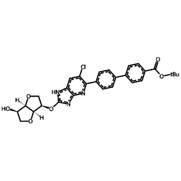 CC(C)(C)OC(=O)c1ccc(-c2ccc(-c3nc4nc(O[C@@H]5CO[C@H]6[C@@H]5OC[C@H]6O)[nH]c4cc3Cl)cc2)cc1